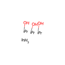 CC(C)O.CC(C)O.CC(C)O.[InH3]